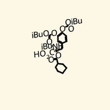 CCC(C)N[C@@](Cc1ccc(OC(=O)OCC(C)C)c(OC(=O)OCC(C)C)c1)(OC(=O)C1CCCCC1)C(=O)O